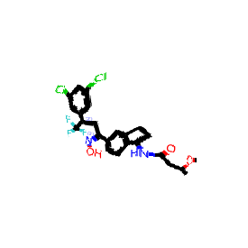 COC(C)CC(=O)NC1CCc2cc(C(/C=C(/c3cc(Cl)cc(Cl)c3)C(F)(F)F)=N\O)ccc21